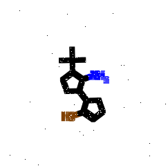 CC(C)(C)C1CCC(C2CCC=C2S)C1N